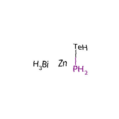 P[TeH].[BiH3].[Zn]